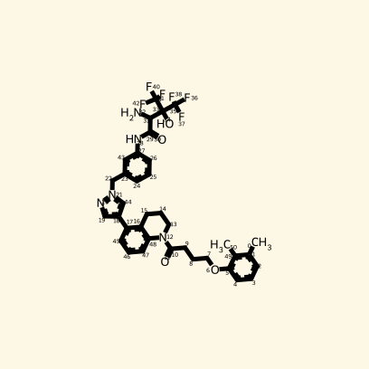 Cc1cccc(OCCCC(=O)N2CCCc3c(-c4cnn(Cc5cccc(NC(=O)C(N)C(O)(C(F)(F)F)C(F)(F)F)c5)c4)cccc32)c1C